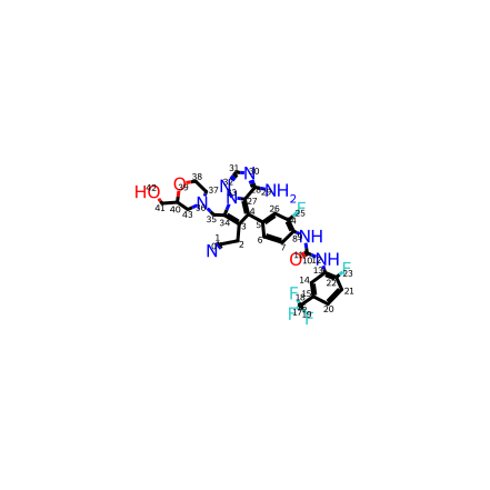 N#CCc1c(-c2ccc(NC(=O)Nc3cc(C(F)(F)F)ccc3F)c(F)c2)c2c(N)ncnn2c1CN1CCOC(CO)C1